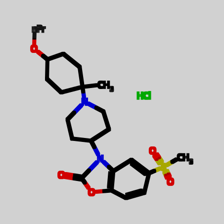 CCCOC1CCC(C)(N2CCC(n3c(=O)oc4ccc(S(C)(=O)=O)cc43)CC2)CC1.Cl